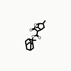 CC1CC2C(C(=O)OC3(C)C4CC5CC(C4)CC3C5)C(=O)OC1C2C